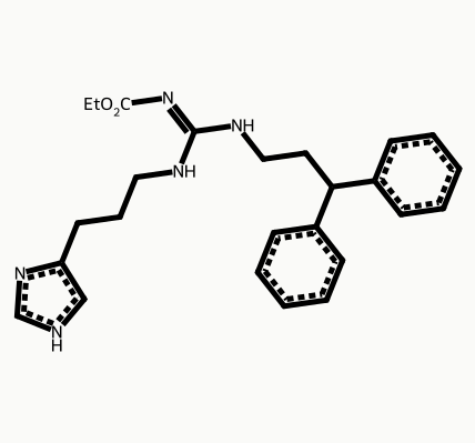 CCOC(=O)N=C(NCCCc1c[nH]cn1)NCCC(c1ccccc1)c1ccccc1